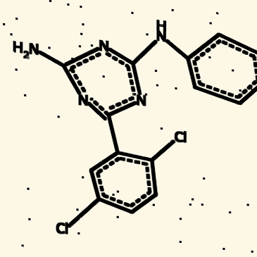 Nc1nc(Nc2ccccc2)nc(-c2cc(Cl)ccc2Cl)n1